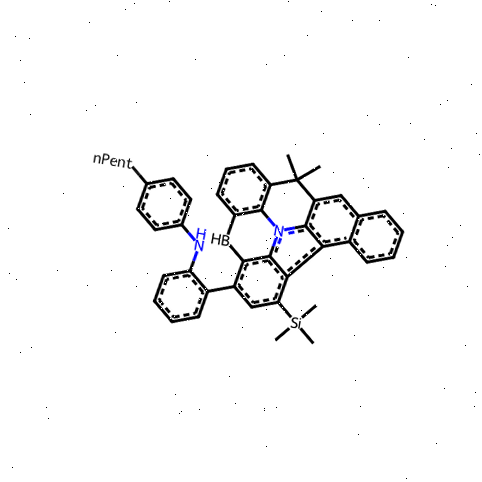 CCCCCc1ccc(Nc2ccccc2-c2cc([Si](C)(C)C)c3c4c5ccccc5cc5c4n4c3c2Bc2cccc(c2-4)C5(C)C)cc1